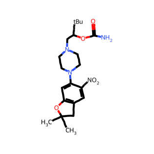 CC1(C)Cc2cc([N+](=O)[O-])c(N3CCN(CC(OC(N)=O)C(C)(C)C)CC3)cc2O1